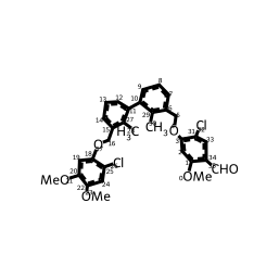 COc1cc(OCc2cccc(-c3cccc(COc4cc(OC)c(OC)cc4Cl)c3C)c2C)c(Cl)cc1C=O